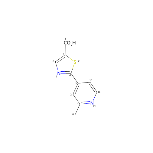 Cc1cc(-c2ncc(C(=O)O)s2)ccn1